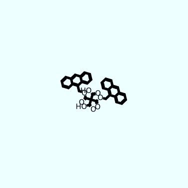 O=C(O)C(C(=O)O)(C(=O)OCc1c2ccccc2cc2ccccc12)C(=O)OCc1c2ccccc2cc2ccccc12